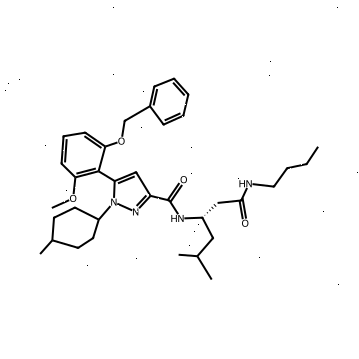 CCCCNC(=O)C[C@H](CC(C)C)NC(=O)c1cc(-c2c(OC)cccc2OCc2ccccc2)n(C2CCC(C)CC2)n1